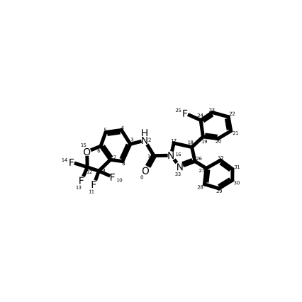 O=C(Nc1ccc2c(c1)C(F)(F)C(F)(F)O2)N1CC(c2ccccc2F)C(c2ccccc2)=N1